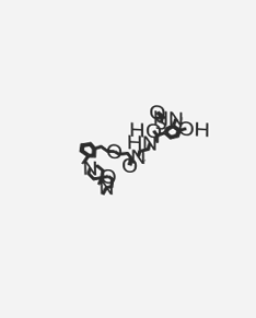 CNc1c(O)ccc(C(O)CNCCN(C)C(=O)CCOCCc2cccc(CN3CCC4(CC3)CN(C)CCO4)c2)c1SC=O